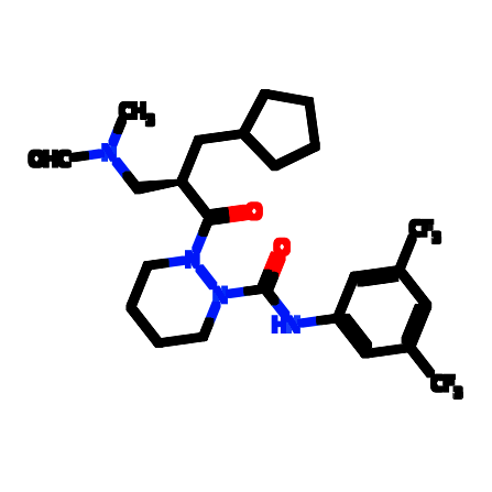 CN(C=O)C[C@@H](CC1CCCC1)C(=O)N1CCCCN1C(=O)Nc1cc(C(F)(F)F)cc(C(F)(F)F)c1